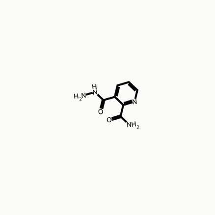 NNC(=O)c1cccnc1C(N)=O